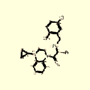 CC(C)[C@H](NCc1cc(Cl)ccc1Cl)C(=O)N1CCN(C2CC2)c2ccccc21